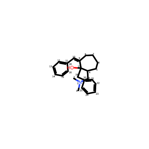 CN(C)CC1CCCC/C(=C/c2ccccc2)C1(O)Cc1ccccc1